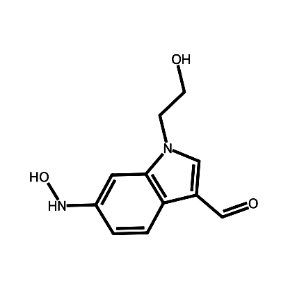 O=Cc1cn(CCO)c2cc(NO)ccc12